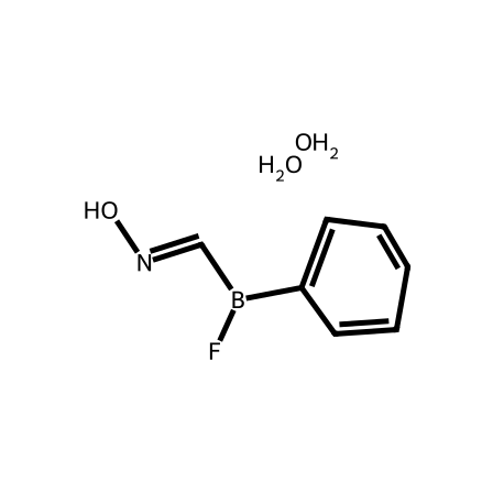 O.O.ON=CB(F)c1ccccc1